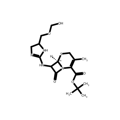 CC1=C(C(=O)OC(C)(C)C)N2C(=O)C(NC3=NCC(COCO)N3)[C@H]2SC1